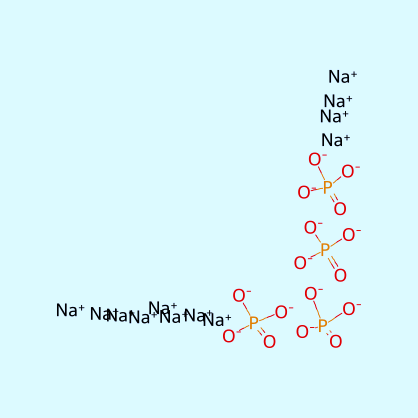 O=P([O-])([O-])[O-].O=P([O-])([O-])[O-].O=P([O-])([O-])[O-].O=P([O-])([O-])[O-].[Na+].[Na+].[Na+].[Na+].[Na+].[Na+].[Na+].[Na+].[Na+].[Na+].[Na+].[Na+]